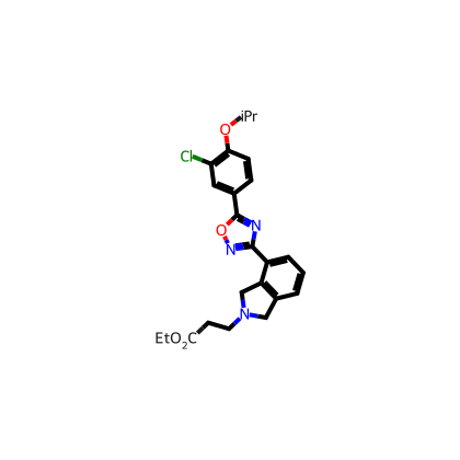 CCOC(=O)CCN1Cc2cccc(-c3noc(-c4ccc(OC(C)C)c(Cl)c4)n3)c2C1